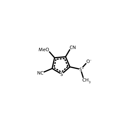 COc1c(C#N)sc([S+](C)[O-])c1C#N